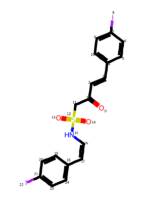 O=C(/C=C/c1ccc(I)cc1)CS(=O)(=O)N/C=C\c1ccc(I)cc1